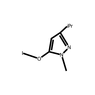 CC(C)c1cc(OI)n(C)n1